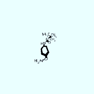 CC(C)(C)OC(=O)NC1CCC(ON)CC1